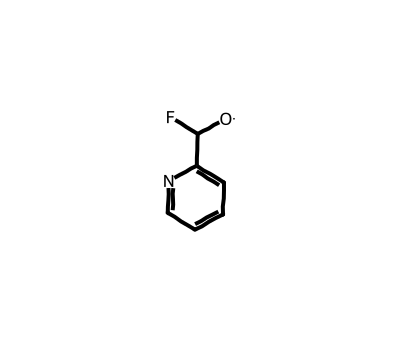 [O]C(F)c1ccccn1